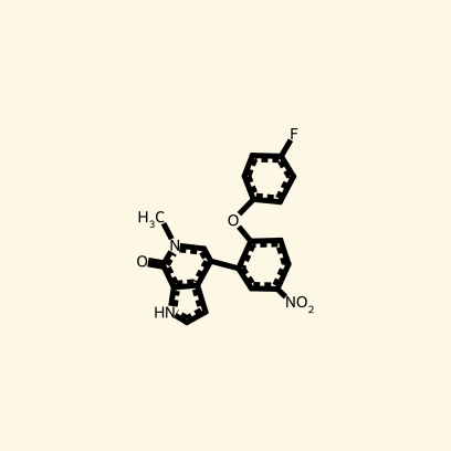 Cn1cc(-c2cc([N+](=O)[O-])ccc2Oc2ccc(F)cc2)c2cc[nH]c2c1=O